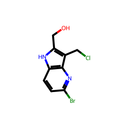 OCc1[nH]c2ccc(Br)nc2c1CCl